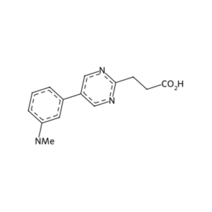 CNc1cccc(-c2cnc(CCC(=O)O)nc2)c1